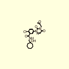 O=C(NCC1(O)CCCCCC1)c1cc(-n2ncc(=O)n(CC3CO3)c2=O)ccc1Cl